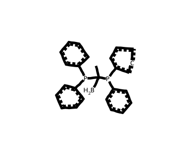 BC(C)(P(c1ccccc1)c1ccccc1)P(c1ccccc1)c1ccccc1